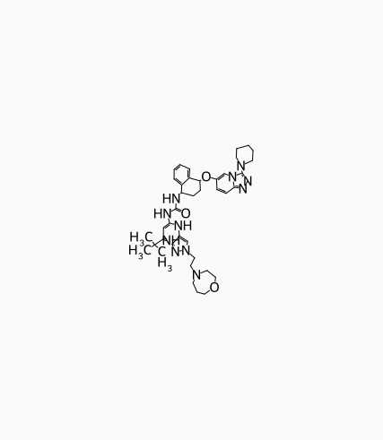 CC(C)(C)C(=N)/C=C(/NC(=O)N[C@H]1CC[C@@H](Oc2ccc3nnc(N4CCCCC4)n3c2)c2ccccc21)Nc1cnn(CCN2CCCOCC2)c1